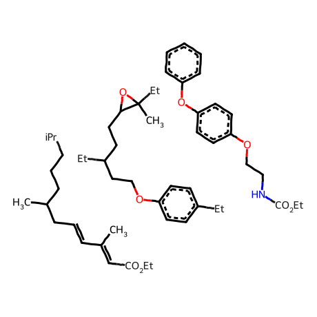 CCOC(=O)/C=C(C)/C=C/CC(C)CCCC(C)C.CCOC(=O)NCCOc1ccc(Oc2ccccc2)cc1.CCc1ccc(OCCC(CC)CCC2OC2(C)CC)cc1